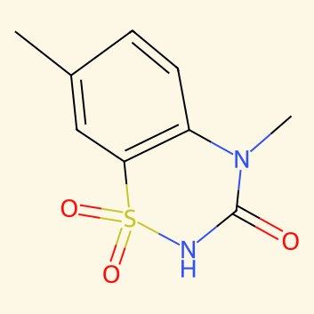 Cc1ccc2c(c1)S(=O)(=O)NC(=O)N2C